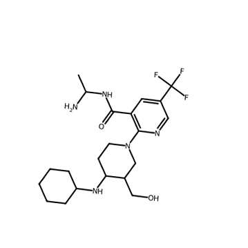 CC(N)NC(=O)c1cc(C(F)(F)F)cnc1N1CCC(NC2CCCCC2)C(CO)C1